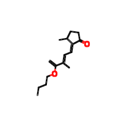 C=C(OCCCC)/C(C)=C/C=C1/C(=O)CCC1C